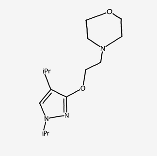 CC(C)c1cn(C(C)C)nc1OCCN1CCOCC1